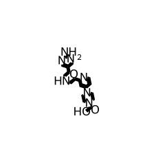 Nc1ncc(C2CNCC(c3cc(N4CCN(C(=O)O)CC4)ccn3)O2)cn1